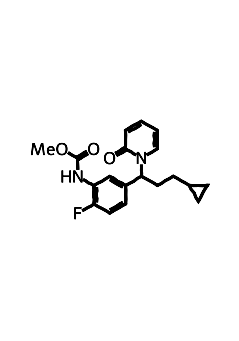 COC(=O)Nc1cc(C(CCC2CC2)n2ccccc2=O)ccc1F